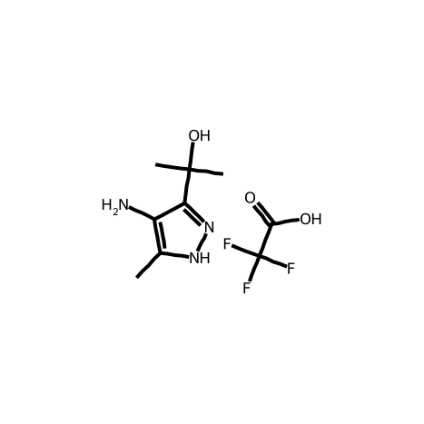 Cc1[nH]nc(C(C)(C)O)c1N.O=C(O)C(F)(F)F